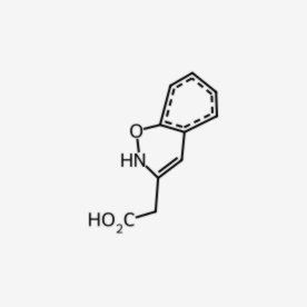 O=C(O)CC1=Cc2ccccc2ON1